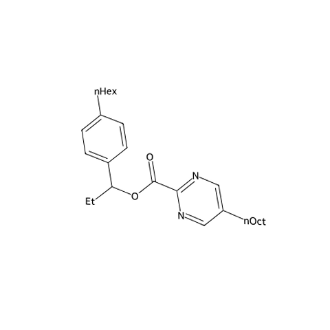 CCCCCCCCc1cnc(C(=O)OC(CC)c2ccc(CCCCCC)cc2)nc1